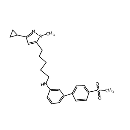 Cn1nc(C2CC2)cc1CCCCCNc1cccc(-c2ccc(S(C)(=O)=O)cc2)c1